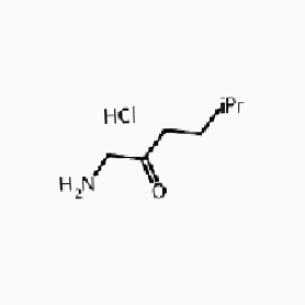 CC(C)CCC(=O)CN.Cl